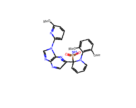 COc1cccc(-n2cnc3ncc(C4(S(N)(=O)=O)C=CC=CN4c4c(OC)cccc4OC)nc32)n1